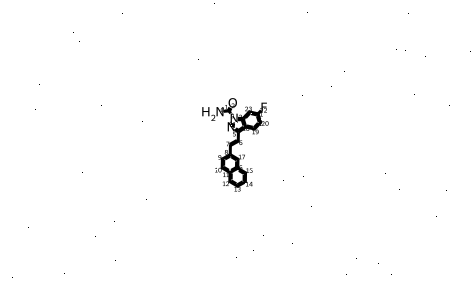 NC(=O)n1nc(C=Cc2ccc3ccccc3c2)c2c[c]c(F)cc21